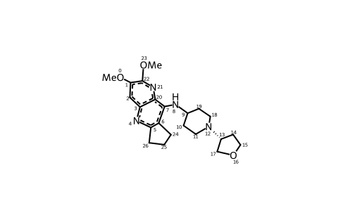 COc1cc2nc3c(c(NC4CCN([C@@H]5CCOC5)CC4)c2nc1OC)CCC3